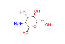 N[C@H]1[C@H](O)[C@@H](O)[C@H](CO)O[C@H]1O